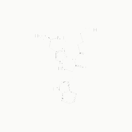 N[C@@H](Cc1cn(N[C@@H](Cc2c[nH]c3ccccc23)C(=O)OC(=O)CCCC(=O)O)cn1)C(=O)O